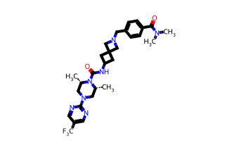 C[C@@H]1CN(c2ncc(C(F)(F)F)cn2)C[C@H](C)N1C(=O)NC1CC2(C1)CN(Cc1ccc(C(=O)N(C)C)cc1)C2